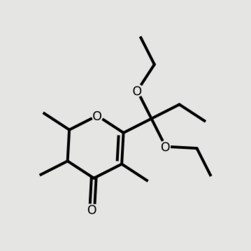 CCOC(CC)(OCC)C1=C(C)C(=O)C(C)C(C)O1